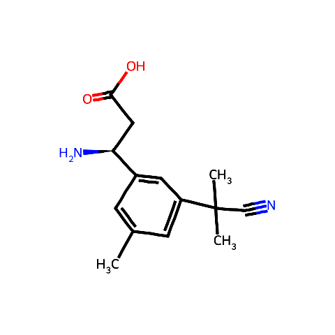 Cc1cc([C@@H](N)CC(=O)O)cc(C(C)(C)C#N)c1